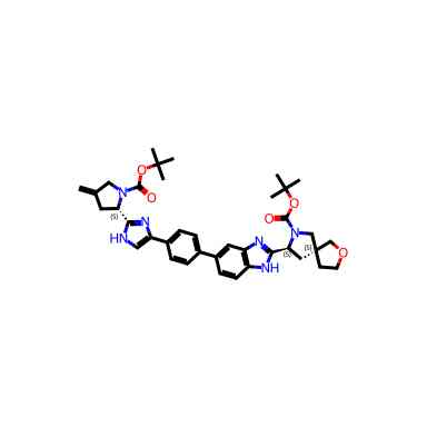 C=C1C[C@@H](c2nc(-c3ccc(-c4ccc5[nH]c([C@@H]6C[C@]7(CCOC7)CN6C(=O)OC(C)(C)C)nc5c4)cc3)c[nH]2)N(C(=O)OC(C)(C)C)C1